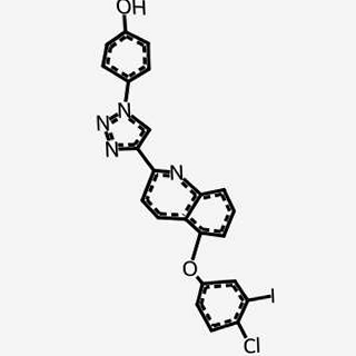 Oc1ccc(-n2cc(-c3ccc4c(Oc5ccc(Cl)c(I)c5)cccc4n3)nn2)cc1